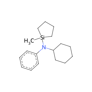 C[Si]1(N(c2ccccc2)C2CCCCC2)CCCC1